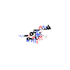 CCc1cc(OCCCCN)ccc1-c1ccc(C[C@H](NC(=O)[C@H](CC(=O)O)NC(=O)[C@H](CO)NC(=O)[C@@H](NC(=O)[C@@](C)(N)Cc2ccccc2F)[C@@H](C)O)C(=O)N[C@@H](CCCc2cc(C)cc(C)c2)C(N)=O)cc1